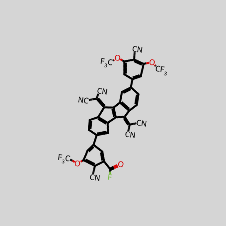 N#CC(C#N)=C1C2=C(C(=C(C#N)C#N)c3ccc(-c4cc(OC(F)(F)F)c(C#N)c(C(=O)F)c4)cc32)c2cc(-c3cc(OC(F)(F)F)c(C#N)c(OC(F)(F)F)c3)ccc21